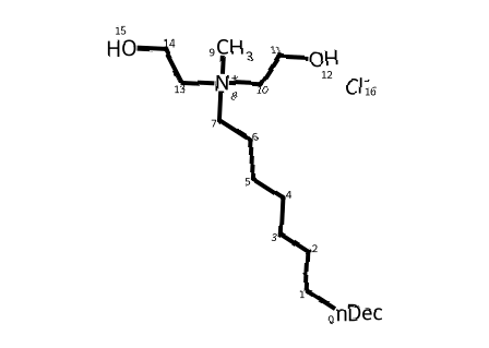 CCCCCCCCCCCCCCCCC[N+](C)(CCO)CCO.[Cl-]